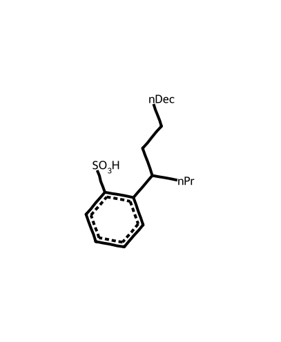 CCCCCCCCCCCCC(CCC)c1ccccc1S(=O)(=O)O